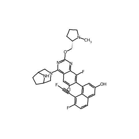 CN1CCC[C@H]1COc1nc(N2CC3CCC(C2)N3)c2cc(Cl)c(-c3cc(O)cc4ccc(F)c(C#CF)c34)c(F)c2n1